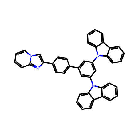 c1ccc2c(c1)c1ccccc1n2-c1cc(-c2ccc(-c3cn4ccccc4n3)cc2)cc(-n2c3ccccc3c3ccccc32)c1